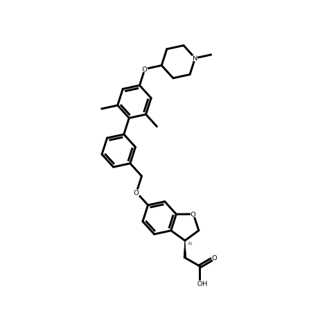 Cc1cc(OC2CCN(C)CC2)cc(C)c1-c1cccc(COc2ccc3c(c2)OC[C@H]3CC(=O)O)c1